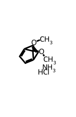 COC1(OC)C2=CC=C1C=C2.Cl.N